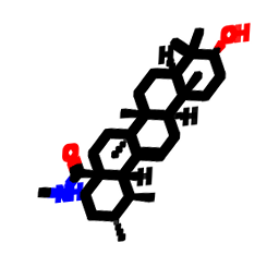 CNC(=O)[C@]12CC[C@@H](C)[C@H](C)[C@H]1C1=CC[C@@H]3[C@@]4(C)CC[C@H](O)C(C)(C)[C@@H]4CC[C@@]3(C)[C@]1(C)CC2